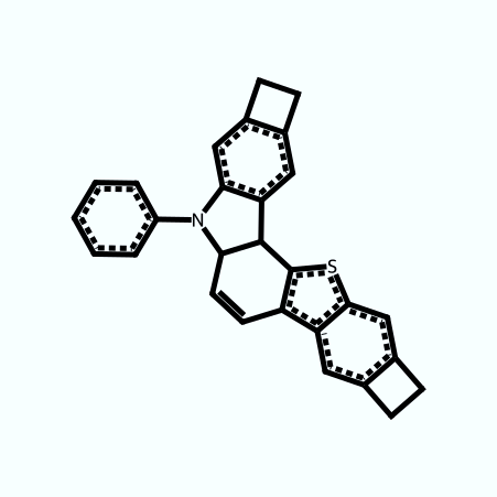 C1=CC2C(c3cc4c(cc3N2c2ccccc2)CC4)c2sc3cc4c(cc3c21)CC4